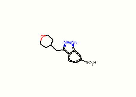 O=S(=O)(O)c1ccc2c(CC3CCOCC3)n[nH]c2c1